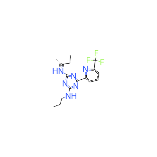 CCCNc1nc(N[C@H](C)CC)nc(-c2cccc(C(F)(F)F)n2)n1